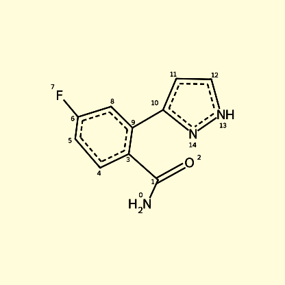 NC(=O)c1ccc(F)cc1-c1cc[nH]n1